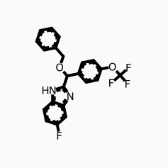 Fc1ccc2[nH]c(C(OCc3ccccc3)c3ccc(OC(F)(F)F)cc3)nc2c1